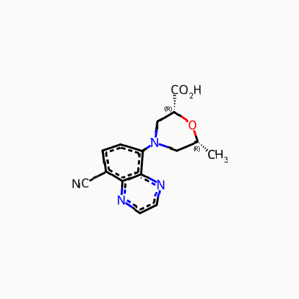 C[C@@H]1CN(c2ccc(C#N)c3nccnc23)C[C@H](C(=O)O)O1